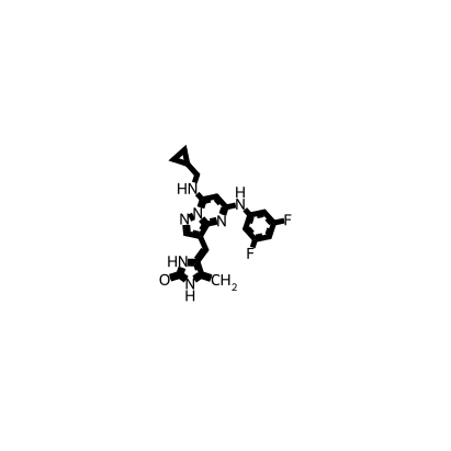 C=c1[nH]c(=O)[nH]/c1=C\c1cnn2c(NCC3CC3)cc(Nc3cc(F)cc(F)c3)nc12